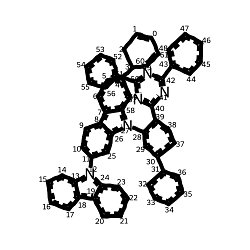 C1=CCC(c2ccc3c4ccc(-n5c6ccccc6c6ccccc65)cc4n(-c4cc(-c5ccccc5)ccc4-c4nc(-c5ccccc5)nc(-c5ccccc5)n4)c3c2)C=C1